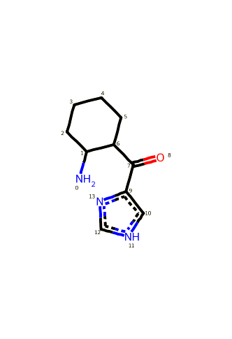 NC1CCCCC1C(=O)c1c[nH]cn1